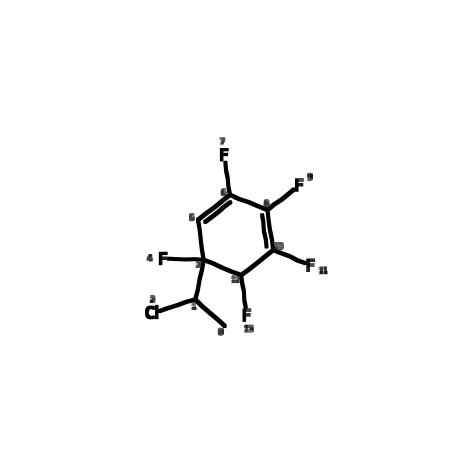 CC(Cl)C1(F)C=C(F)C(F)=C(F)C1F